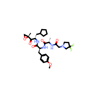 COc1ccc(C[C@H](NC(=O)[C@H](C)NC(=O)CN2CCC(F)(F)C2)C(=O)N[C@@H](CC2CCCC2)C(=O)[C@@]2(C)CO2)cc1